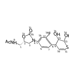 CC(=O)NC[C@H]1CN(c2ccc(C3C=CSC(O)C3O)c(F)c2)C(=O)O1